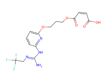 NC(=NCC(F)(F)F)Nc1cccc(OCCCOC(=O)/C=C\C(=O)O)n1